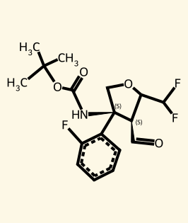 CC(C)(C)OC(=O)N[C@@]1(c2ccccc2F)COC(C(F)F)[C@H]1C=O